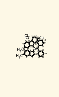 Cc1ccc2c(c1)C=C[CH]2[Zr+2](=[C](c1ccccc1)c1ccccc1)[CH]1c2cc(C)ccc2-c2ccc(C)cc21.[Cl-].[Cl-]